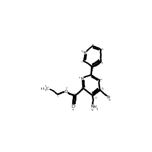 CCOC(=O)c1nc(-c2cccnc2)cc(Br)c1N